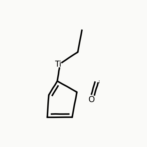 C[CH2][Ti][C]1=CC=CC1.[C]=O